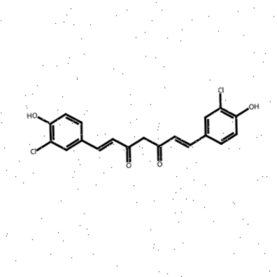 O=C(/C=C/c1ccc(O)c(Cl)c1)CC(=O)/C=C/c1ccc(O)c(Cl)c1